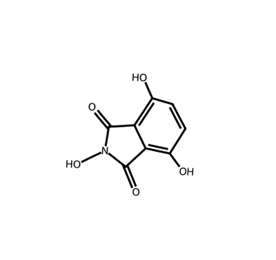 O=C1c2c(O)ccc(O)c2C(=O)N1O